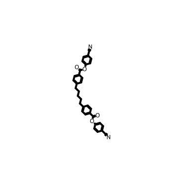 N#Cc1ccc(OC(=O)c2ccc(CCCCCc3ccc(C(=O)Oc4ccc(C#N)cc4)cc3)cc2)cc1